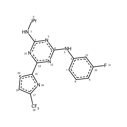 CC(C)Nc1nc(Nc2cccc(F)c2)nc(-c2nc(C(F)(F)F)cs2)n1